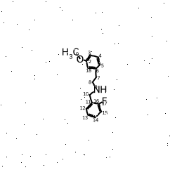 COc1cccc(CCNCc2ccccc2F)c1